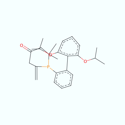 C=C1CC(=O)CC(C)(C)P1c1ccccc1-c1c(OC(C)C)cccc1OC(C)C